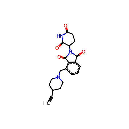 C#CC1CCN(Cc2cccc3c2C(=O)N(C2CCC(=O)NC2=O)C3=O)CC1